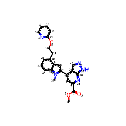 COC(=O)c1cc(-c2cc3c(CCOc4ccccn4)cccc3n2C)c2cn[nH]c2n1